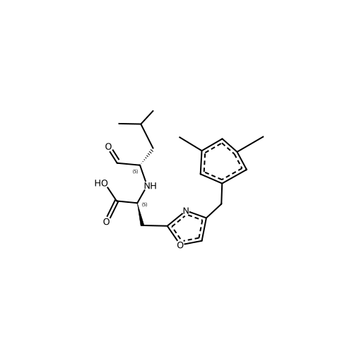 Cc1cc(C)cc(Cc2coc(C[C@H](N[C@H](C=O)CC(C)C)C(=O)O)n2)c1